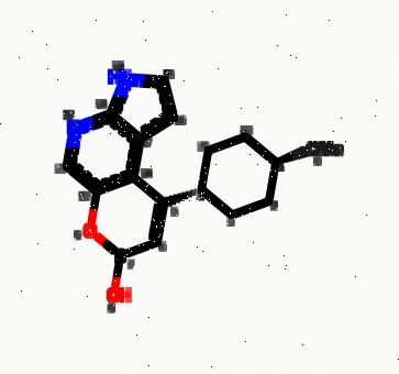 CO[C@H]1CC[C@H](C2=CB(O)Oc3cnc4[nH]ccc4c32)CC1